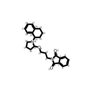 O=C1c2ccccc2C(=O)N1CCCOC1CCCN1C1CCCc2ccccc21